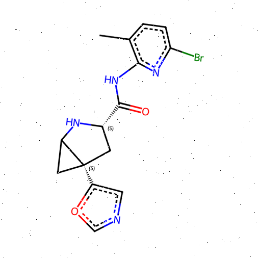 Cc1ccc(Br)nc1NC(=O)[C@@H]1C[C@@]2(c3cnco3)CC2N1